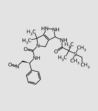 CC[Si](C)(C)C(C)(C)C(=O)NC1NNC2=C1CN(C(=O)N[C@H](CN=O)c1ccccc1)C2(C)C